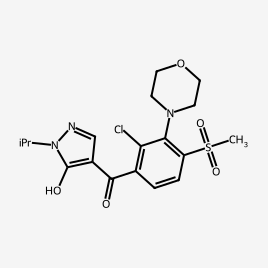 CC(C)n1ncc(C(=O)c2ccc(S(C)(=O)=O)c(N3CCOCC3)c2Cl)c1O